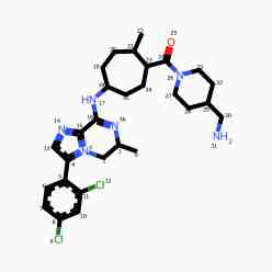 CC1Cn2c(-c3ccc(Cl)cc3Cl)cnc2C(NC2CCC(C)C(C(=O)N3CCC(CN)CC3)CC2)=N1